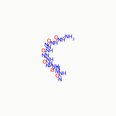 CN(C)CC(=O)Nc1cn(C)c(C(=O)Nc2cn(C)c(C(=O)Nc3cn(C)c(C(=O)Nc4cn(C)c(C(=O)NCCC(=O)NCCCN)n4)n3)n2)n1